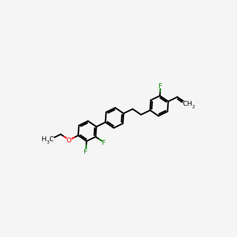 C=Cc1ccc(CCc2ccc(-c3ccc(OCC)c(F)c3F)cc2)cc1F